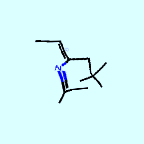 C/C=C(/CC(C)(C)C)N=C(C)C